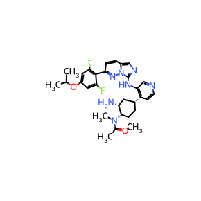 CC(=O)N(C)[C@@H]1[C@H](N)C[C@H](c2ccncc2Nc2ncc3ccc(-c4c(F)cc(OC(C)C)cc4F)nn23)C[C@@H]1C